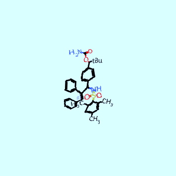 Cc1cc(C)c(S(=O)(=O)NC(/C(=C/c2ccccc2)c2ccccc2)c2ccc(C(OC(N)=O)C(C)(C)C)cc2)c(C)c1